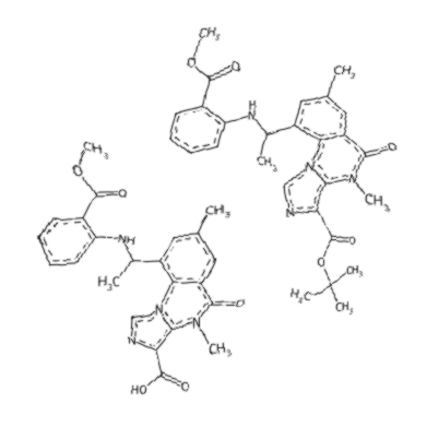 COC(=O)c1ccccc1NC(C)c1cc(C)cc2c(=O)n(C)c3c(C(=O)O)ncn3c12.COC(=O)c1ccccc1NC(C)c1cc(C)cc2c(=O)n(C)c3c(C(=O)OC(C)(C)C)ncn3c12